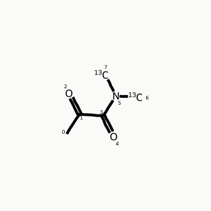 CC(=O)C(=O)N([13CH3])[13CH3]